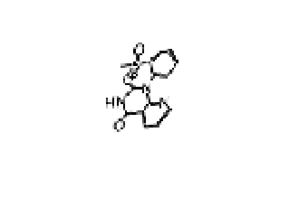 CS(=O)(=O)c1ccccc1-n1c(=O)[nH]c(=O)c2cccnc21